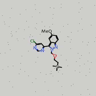 COc1ccc2nn(COCC[Si](C)(C)C)c(-c3cc(Cl)ncn3)c2c1